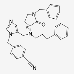 N#Cc1ccc(Cn2cncc2CN(CCCc2ccccc2)[C@@H]2CCN(Cc3ccccc3)C2=O)cc1